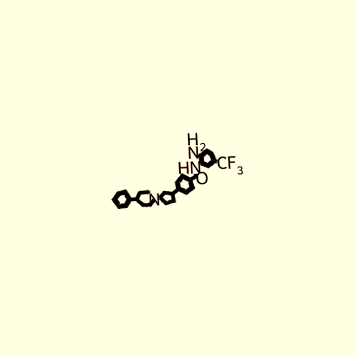 Nc1ccc(C(F)(F)F)cc1NC(=O)c1ccc(C2CCC(N3CCC(c4ccccc4)CC3)C2)cc1